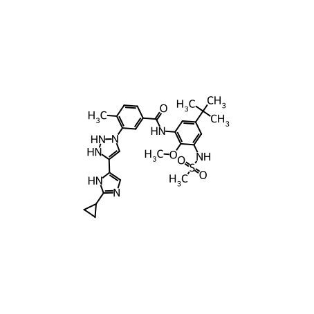 COc1c(NC(=O)c2ccc(C)c(N3C=C(c4cnc(C5CC5)[nH]4)NN3)c2)cc(C(C)(C)C)cc1NS(C)(=O)=O